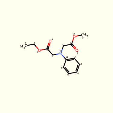 CCOC(=O)CN(CC(=O)OC)c1ccccc1